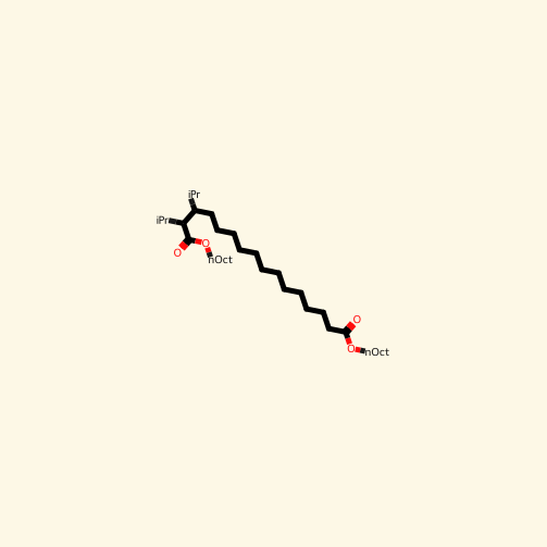 CCCCCCCCOC(=O)CCCCCCCCCCCCC(C(C)C)C(C(=O)OCCCCCCCC)C(C)C